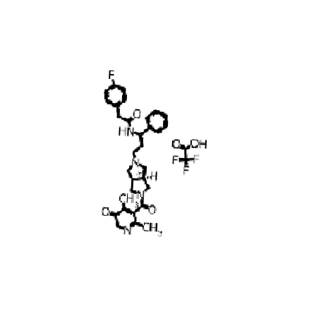 CC1=NCC(=O)C(C)=C1C(=O)N1CC2CN(CCC(NC(=O)Cc3ccc(F)cc3)c3ccccc3)C[C@H]2C1.O=C(O)C(F)(F)F